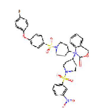 O=C1OCc2ccccc2[N+]1(C1CCN(S(=O)(=O)c2ccc(Oc3ccc(Br)cc3)cc2)CC1)C1CCN(S(=O)(=O)c2cccc([N+](=O)[O-])c2)CC1